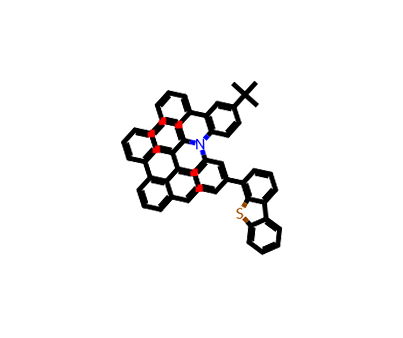 CC(C)(C)c1ccc(N(c2cccc(-c3cccc4c3sc3ccccc34)c2)c2ccccc2-c2cccc3cccc(-c4ccccc4)c23)c(-c2ccccc2)c1